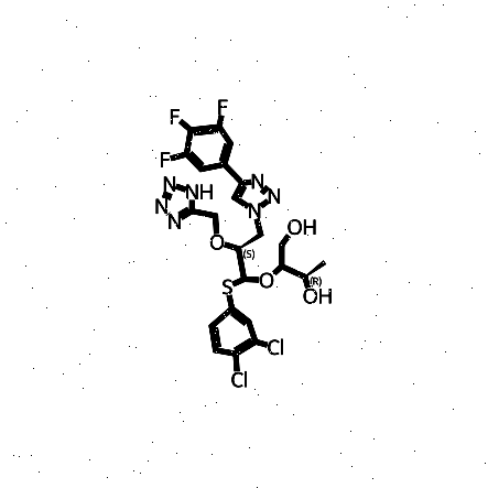 C[C@@H](O)C(CO)OC(Sc1ccc(Cl)c(Cl)c1)[C@H](Cn1cc(-c2cc(F)c(F)c(F)c2)nn1)OCc1nnn[nH]1